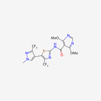 COc1ncnc(OC)c1C(=O)Nc1nc(C(F)(F)F)c(-c2cn(C)nc2C(F)(F)F)s1